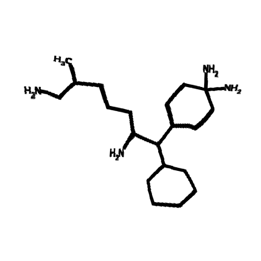 CC(CN)CCCC(N)C(C1CCCCC1)C1CCC(N)(N)CC1